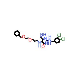 N=Cc1nc(NCc2ccc(Cl)c(Cl)c2)[nH]c(=O)c1NCCCOCCOCc1ccccc1